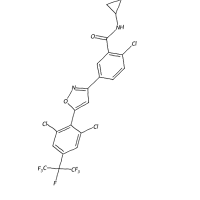 O=C(NC1CC1)c1cc(-c2cc(-c3c(Cl)cc(C(F)(C(F)(F)F)C(F)(F)F)cc3Cl)on2)ccc1Cl